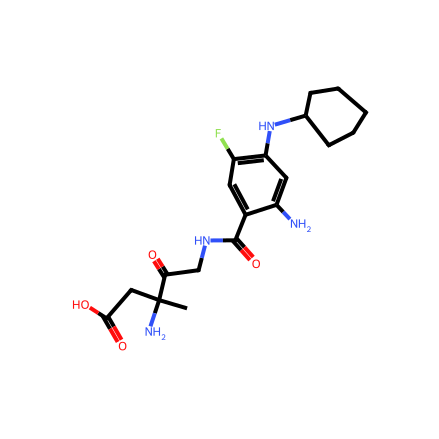 CC(N)(CC(=O)O)C(=O)CNC(=O)c1cc(F)c(NC2CCCCC2)cc1N